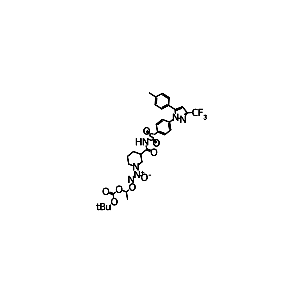 Cc1ccc(-c2cc(C(F)(F)F)nn2-c2ccc(S(=O)(=O)NC(=O)C3CCCN([N+]([O-])=NOC(C)OC(=O)OC(C)(C)C)C3)cc2)cc1